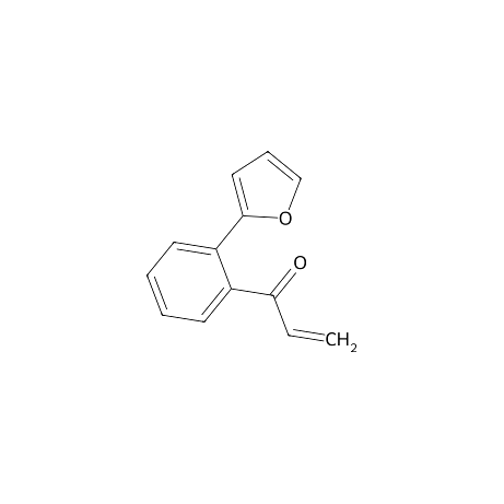 C=CC(=O)c1ccccc1-c1ccco1